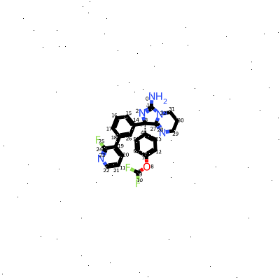 NC1=N[C@](c2ccc(OC(F)F)cc2)(c2cccc(-c3cccnc3F)c2)C2=NCCCN12